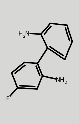 Nc1ccccc1-c1ccc(F)cc1N